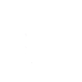 CCC(CN1CCN(C(=O)OC(C)(C)C)CC1)Oc1ccc(Cl)cc1